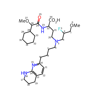 COCC(F)CN(CCCCc1ccc2c(n1)NCCC2)CCC(NC(=O)C(OC)C1CCCCC1)C(=O)O